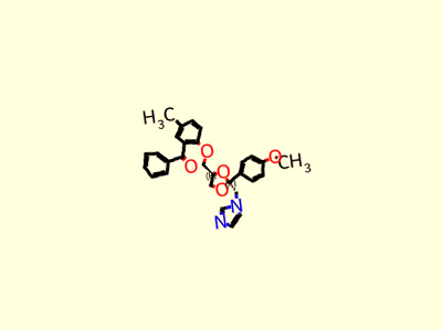 COc1ccc([C@@]2(Cn3ccnc3)OC[C@@H](COc3ccc(C)cc3C(=O)c3ccccc3)O2)cc1